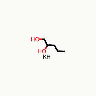 CCCC(O)CO.[KH]